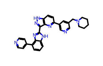 c1cc(-c2ccncc2)c2nc(-c3n[nH]c4ccc(-c5cncc(CN6CCCCC6)c5)nc34)[nH]c2c1